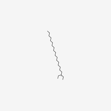 CCCCCCCCCCCCCCCCCC[C](CC)CC